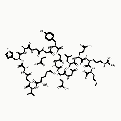 CSCC[C@H](NC(=O)[C@H](CCCNC(=N)N)NC(=O)[C@H](CCC(=O)O)NC(=O)[C@H](CC(C)C)NC(=O)[C@H](C)NC(=O)[C@H](CCC(=O)O)NC(=O)[C@H](C)NC(=O)CNC(=O)[C@H](Cc1ccc(O)cc1)NC(=O)[C@H](CCC(=O)O)NC(=O)CNC(=O)[C@H](C)NC(=O)[C@H](Cc1c[nH]cn1)NC(=O)[C@H](C)NC(=O)CNC(=O)[C@@H](NC(=O)[C@@H](N)CCCCN)C(C)C)C(=O)O